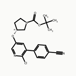 CC(C)(C)OC(=O)N1CC[C@@H](Oc2cnc(Cl)c(-c3ccc(C#N)cc3)c2)C1